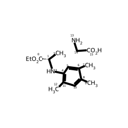 CCOC(=O)[C@H](C)Nc1cc(C)c(C)cc1C.NCC(=O)O